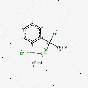 CCCCCC(Br)(Br)c1ccccc1C(Br)(Br)CCCCC